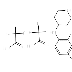 Fc1ccc(NC2CCNCC2)c(F)c1.O=C(O)C(F)(F)F.O=C(O)C(F)(F)F